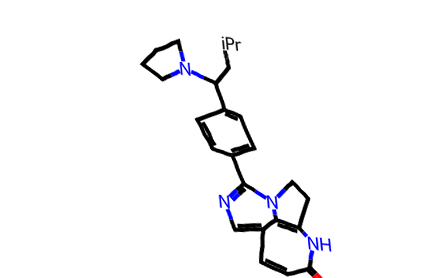 CC(C)CC(c1ccc(C2=NC=C3C=CC(=O)NC4=C3N2CC4)cc1)N1CCCC1